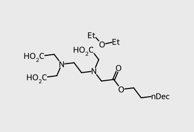 CCCCCCCCCCCCOC(=O)CN(CCN(CC(=O)O)CC(=O)O)CC(=O)O.CCOCC